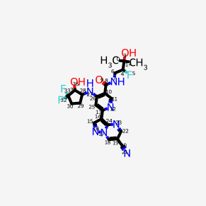 CC(C)(O)C(F)CNC(=O)c1cnc(-c2cnn3cc(C#N)cnc23)cc1NC1CCC(F)(F)C1O